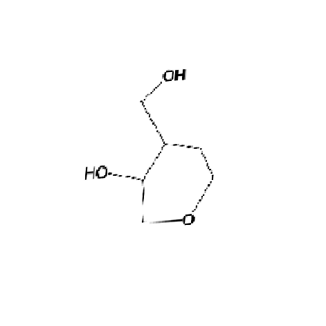 OCC1CCOCC1O